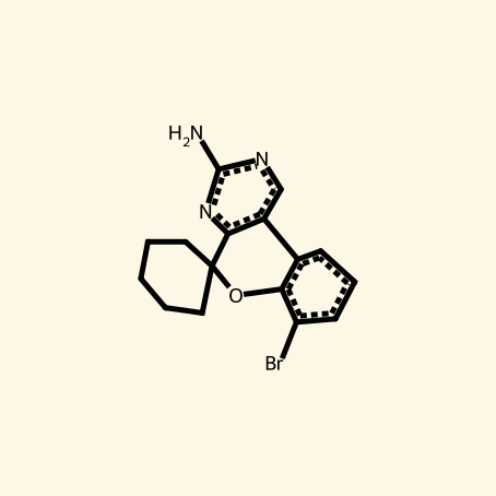 Nc1ncc2c(n1)C1(CCCCC1)Oc1c(Br)cccc1-2